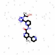 Cc1cnc(C(=O)Nc2cccc(-c3nnnn3C(C)CO)n2)cc1-c1cccnc1